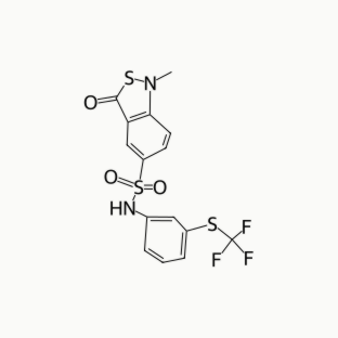 Cn1sc(=O)c2cc(S(=O)(=O)Nc3cccc(SC(F)(F)F)c3)ccc21